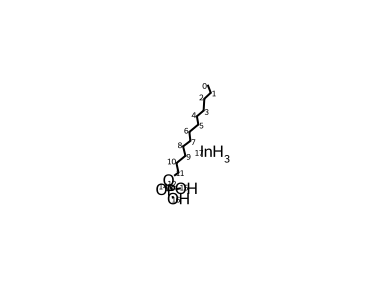 CCCCCCCCCCCCOP(=O)(O)O.[InH3]